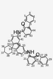 c1ccc2c(c1)oc1c(Nc3ccc(C4(c5ccc(Nc6cccc7c6oc6ccccc67)cc5)CCCCC4)cc3)cccc12